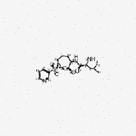 CC(C)C[C@H](N)C(=O)NC1CCCN(S(=O)(=O)c2cccnc2)CC1=O